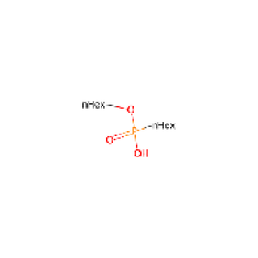 CCCCCCOP(=O)(O)CCCCCC